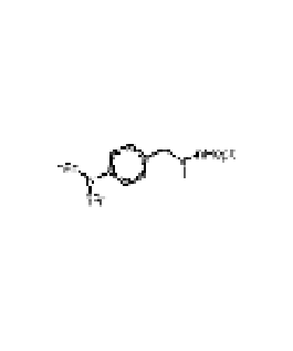 CCCCCCCNCc1ccc(N(CCC)CCC)cc1